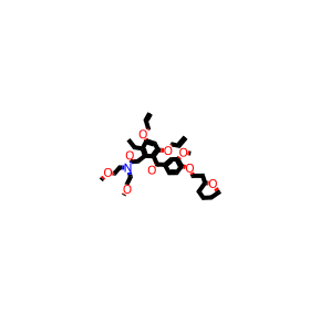 C=CCOc1cc(OCC=C)c(C(=O)c2ccc(OCCC3CCCCO3)c(OC)c2)c(CC(=O)N(CCOC)CCOC)c1CC